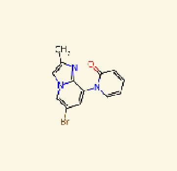 Cc1cn2cc(Br)cc(-n3ccccc3=O)c2n1